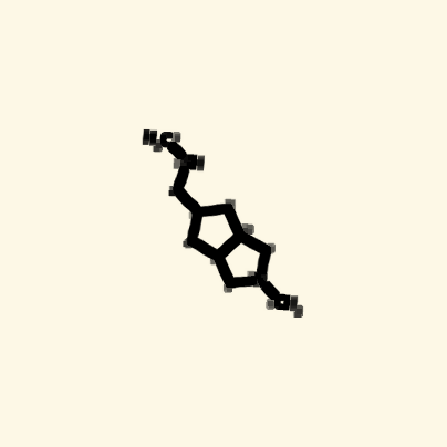 CNCC1CC2CN(C)CC2C1